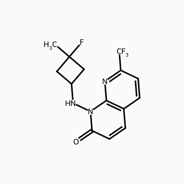 CC1(F)CC(Nn2c(=O)ccc3ccc(C(F)(F)F)nc32)C1